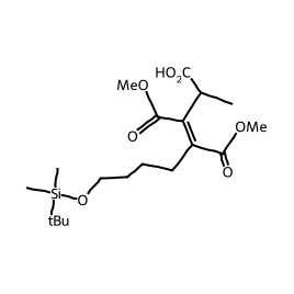 COC(=O)C(CCCCO[Si](C)(C)C(C)(C)C)=C(C(=O)OC)C(C)C(=O)O